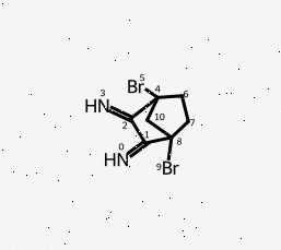 N=C1C(=N)C2(Br)CCC1(Br)C2